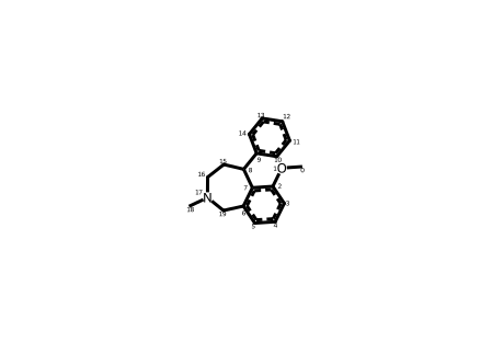 COc1cccc2c1C(c1ccccc1)CCN(C)C2